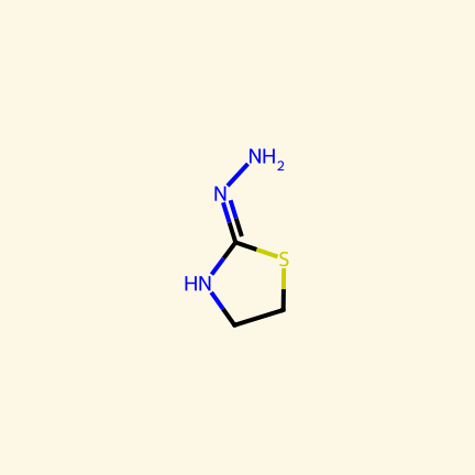 NN=C1NCCS1